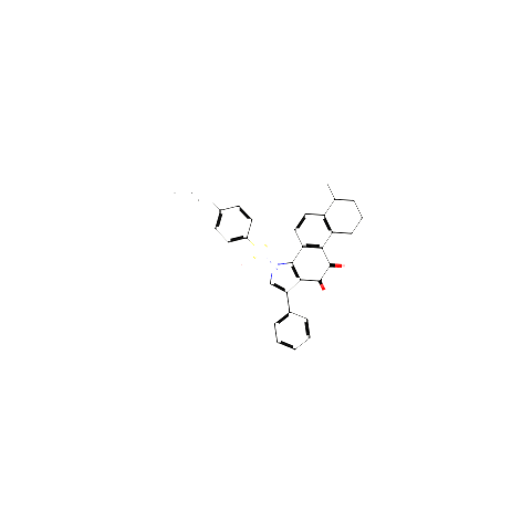 CC(=O)Nc1ccc(S(=O)(=O)n2cc(-c3ccccc3)c3c2-c2ccc4c(c2C(=O)C3=O)CCCC4C)cc1